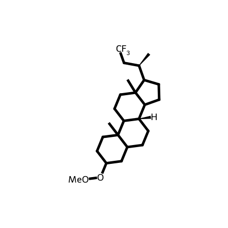 COOC1CCC2(C)C(CC[C@@H]3C2CCC2(C)C3CCC2[C@H](C)CC(F)(F)F)C1